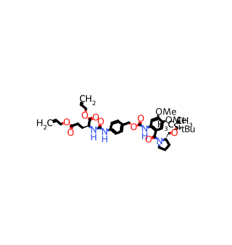 C=CCOC(=O)CC[C@H](NC(=O)Nc1ccc(COC(=O)Nc2cc(OC)c(OC)cc2C(=O)N2CCC[C@H]2CO[Si](C)(C)C(C)(C)C)cc1)C(=O)OCC=C